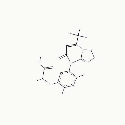 COC(=O)C(C)Sc1cc(N2C(=O)C=C(C(F)(F)F)N3CCN=C32)c(F)cc1Cl